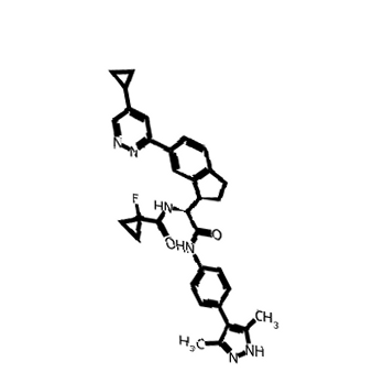 Cc1n[nH]c(C)c1-c1ccc(NC(=O)[C@@H](NC(=O)C2(F)CC2)[C@@H]2CCc3ccc(-c4cc(C5CC5)cnn4)cc32)cc1